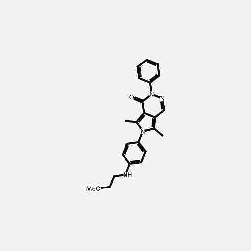 COCCNc1ccc(-n2c(C)c3cnn(-c4ccccc4)c(=O)c3c2C)cc1